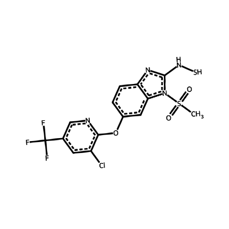 CS(=O)(=O)n1c(NS)nc2ccc(Oc3ncc(C(F)(F)F)cc3Cl)cc21